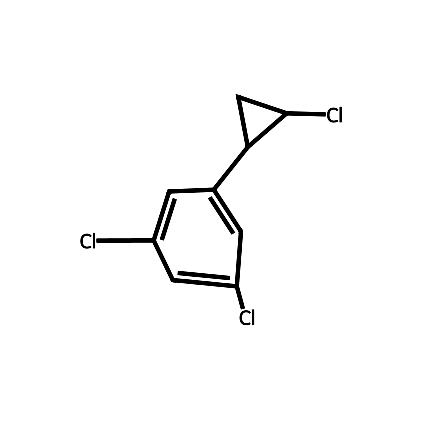 Clc1cc(Cl)cc(C2CC2Cl)c1